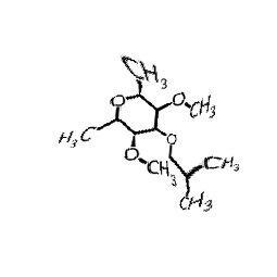 COC1C(OCC(C)C)[C@@H](OC)C(C)O[C@H]1C